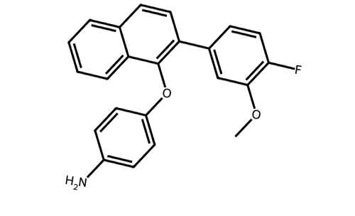 COc1cc(-c2ccc3ccccc3c2Oc2ccc(N)cc2)ccc1F